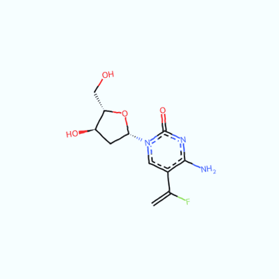 C=C(F)c1cn([C@@H]2C[C@@H](O)[C@H](CO)O2)c(=O)nc1N